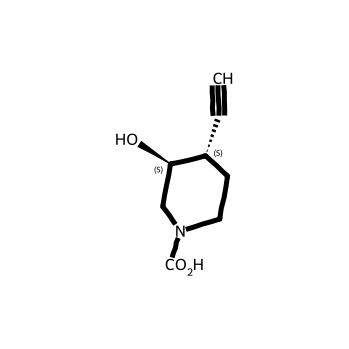 C#C[C@@H]1CCN(C(=O)O)C[C@H]1O